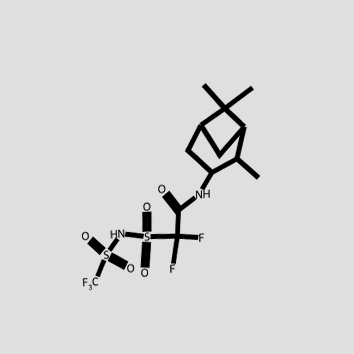 CC1C(NC(=O)C(F)(F)S(=O)(=O)NS(=O)(=O)C(F)(F)F)CC2CC1C2(C)C